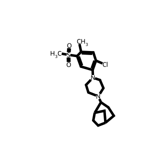 Cc1cc(Cl)c(N2CCN(C3CCC4CCC3C4)CC2)cc1S(C)(=O)=O